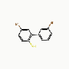 Sc1ccc(Br)cc1-c1cccc(Br)c1